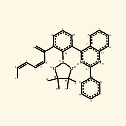 C=C(/C=C\C=C/C)c1cccc(-c2nc(-c3ccccc3)nc3ccccc23)c1B1OC(C)(C)C(C)(C)O1